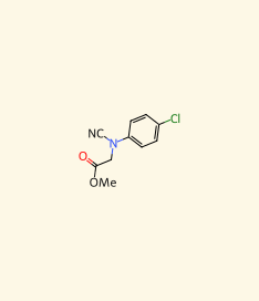 COC(=O)CN(C#N)c1ccc(Cl)cc1